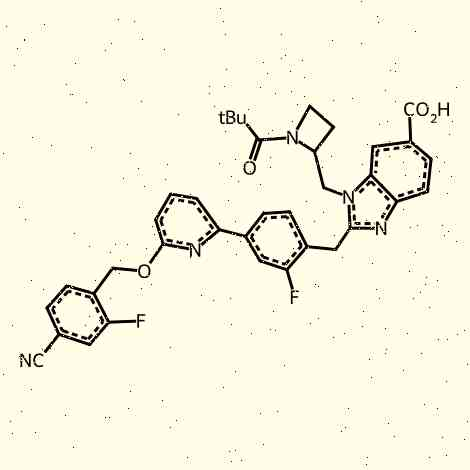 CC(C)(C)C(=O)N1CCC1Cn1c(Cc2ccc(-c3cccc(OCc4ccc(C#N)cc4F)n3)cc2F)nc2ccc(C(=O)O)cc21